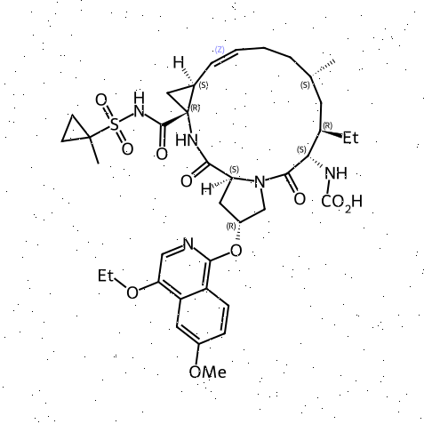 CCOc1cnc(O[C@@H]2C[C@H]3C(=O)N[C@]4(C(=O)NS(=O)(=O)C5(C)CC5)C[C@H]4/C=C\CC[C@H](C)C[C@@H](CC)[C@H](NC(=O)O)C(=O)N3C2)c2ccc(OC)cc12